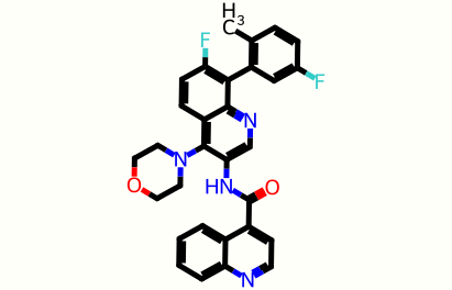 Cc1ccc(F)cc1-c1c(F)ccc2c(N3CCOCC3)c(NC(=O)c3ccnc4ccccc34)cnc12